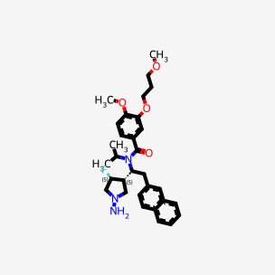 COCCCOc1cc(C(=O)N(C(C)C)C(Cc2ccc3ccccc3c2)[C@@H]2CN(N)C[C@H]2F)ccc1OC